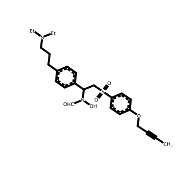 CC#CCOc1ccc(S(=O)(=O)CC(c2ccc(CCCN(CC)CC)cc2)N(O)C=O)cc1